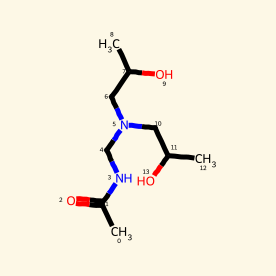 CC(=O)NCN(CC(C)O)CC(C)O